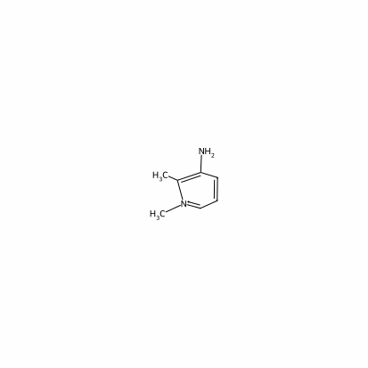 Cc1c(N)ccc[n+]1C